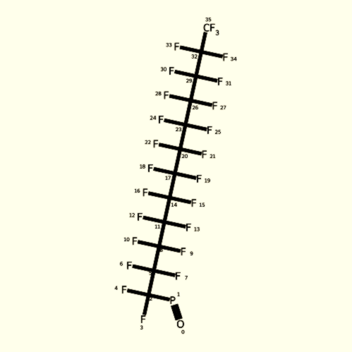 O=PC(F)(F)C(F)(F)C(F)(F)C(F)(F)C(F)(F)C(F)(F)C(F)(F)C(F)(F)C(F)(F)C(F)(F)C(F)(F)C(F)(F)F